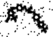 N#Cc1ccc(NC2CCC(OCC(=O)NCC3CCN(c4ccc(C(F)(F)F)cc4)CC3)CC2)cc1C(F)(F)F